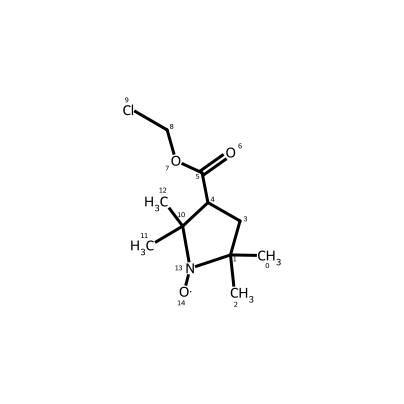 CC1(C)CC(C(=O)OCCl)C(C)(C)N1[O]